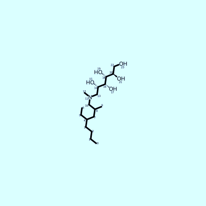 CCCCC(CC)CC(C)CN(C)C[C@H](O)[C@@H](O)[C@H](O)[C@H](O)CO